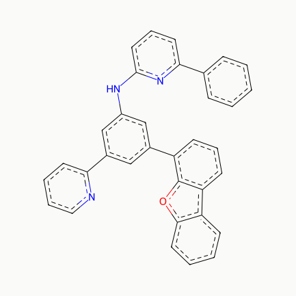 c1ccc(-c2cccc(Nc3cc(-c4ccccn4)cc(-c4cccc5c4oc4ccccc45)c3)n2)cc1